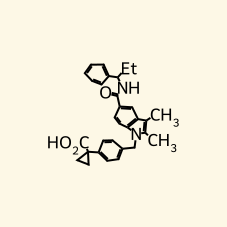 CCC(NC(=O)c1ccc2c(c1)c(C)c(C)n2Cc1ccc(C2(C(=O)O)CC2)cc1)c1ccccc1